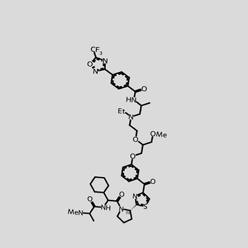 CCN(CCOC(COC)COc1cccc(C(=O)c2csc([C@@H]3CCCN3C(=O)C(NC(=O)C(C)NC)C3CCCCC3)n2)c1)CC(C)NC(=O)c1ccc(-c2noc(C(F)(F)F)n2)cc1